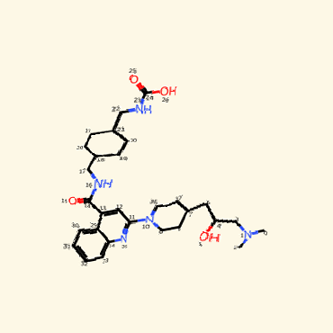 CN(C)CC(O)CC1CCN(c2cc(C(=O)NCC3CCC(CNC(=O)O)CC3)c3ccccc3n2)CC1